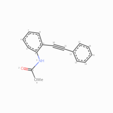 COC(=O)Nc1ccccc1C#Cc1ccccc1